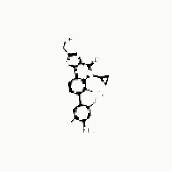 Cc1c(-c2cc(F)c(N)cc2F)ccc2c3oc(CO)nc3c(=O)n(C3CC3)c12